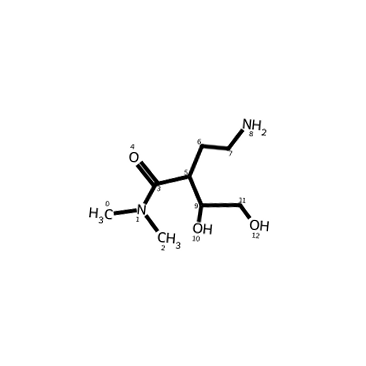 CN(C)C(=O)C(CCN)C(O)CO